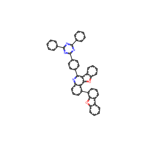 c1ccc(-c2nc(-c3ccccc3)nc(-c3ccc(-c4nc5cccc(-c6cccc7c6oc6ccccc67)c5c5oc6ccccc6c45)cc3)n2)cc1